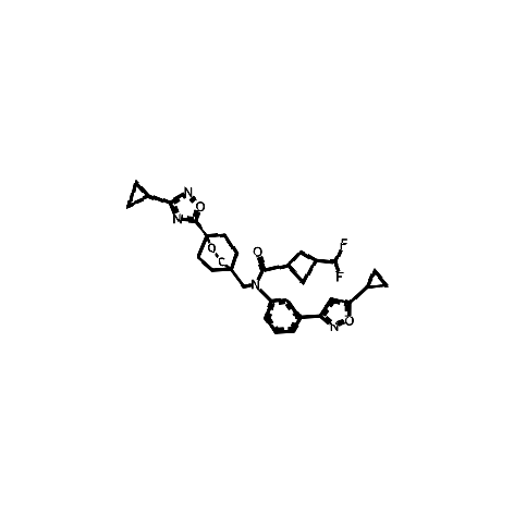 O=C(C1CC(C(F)F)C1)N(CC12CCC(c3nc(C4CC4)no3)(CC1)OC2)c1cccc(-c2cc(C3CC3)on2)c1